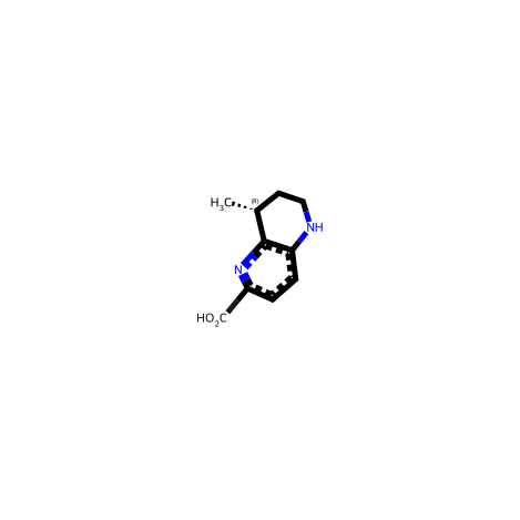 C[C@@H]1CCNc2ccc(C(=O)O)nc21